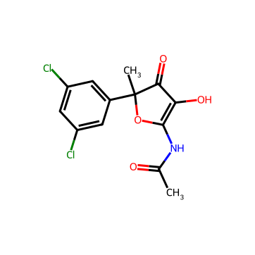 CC(=O)NC1=C(O)C(=O)C(C)(c2cc(Cl)cc(Cl)c2)O1